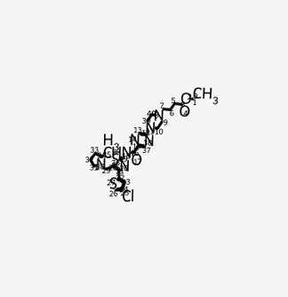 CCOC(=O)CCCN1CCN(c2cnc(C(=O)Nc3nc(-c4cc(Cl)cs4)c(CN4CCCC4C)s3)cn2)CC1